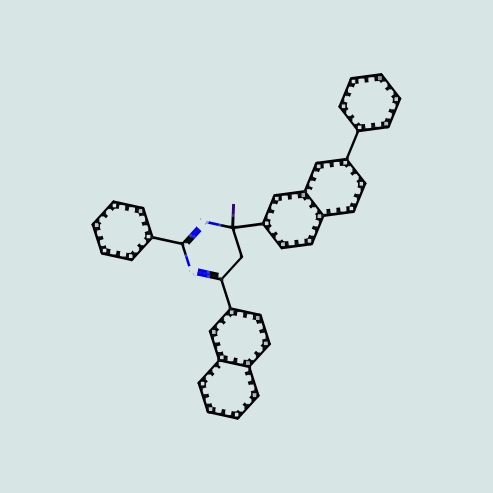 IC1(c2ccc3ccc(-c4ccccc4)cc3c2)CC(c2ccc3ccccc3c2)=NC(c2ccccc2)=N1